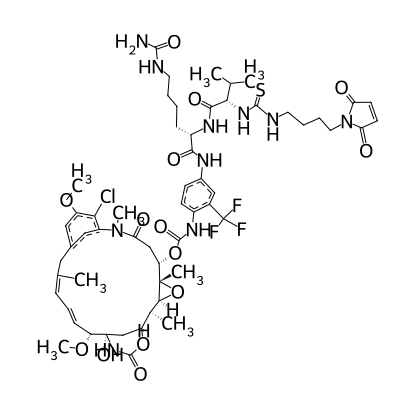 COc1cc2cc(c1Cl)N(C)C(=O)C[C@H](OC(=O)Nc1ccc(NC(=O)[C@H](CCCCNC(N)=O)NC(=O)[C@@H](NC(=S)NCCCCN3C(=O)C=CC3=O)C(C)C)cc1C(F)(F)F)[C@]1(C)O[C@H]1[C@H](C)[C@@H]1C[C@@](O)(NC(=O)O1)[C@H](OC)/C=C/C=C(\C)C2